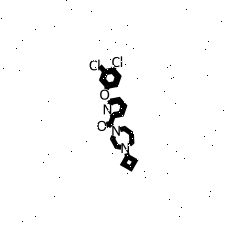 O=C(c1cccc(Oc2ccc(Cl)c(Cl)c2)n1)N1CCCN(C2CCC2)CC1